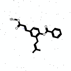 CC(C)=CCc1cc(/C=C/C(=O)OC(C)(C)C)ccc1OC(=O)c1ccccc1